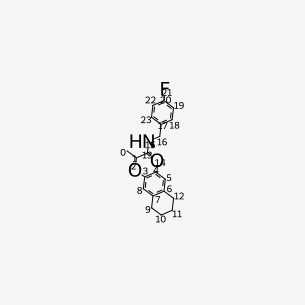 CC(Oc1ccc2c(c1)CCCC2)C(=O)NCc1ccc(F)cc1